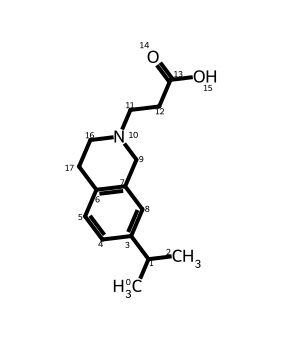 CC(C)c1ccc2c(c1)CN(CCC(=O)O)CC2